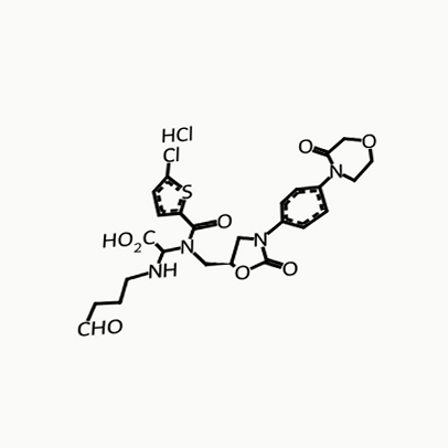 Cl.O=CCCCNC(C(=O)O)N(C[C@H]1CN(c2ccc(N3CCOCC3=O)cc2)C(=O)O1)C(=O)c1ccc(Cl)s1